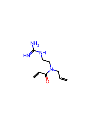 C=CCN(CCNC(=N)N)C(=O)C=C